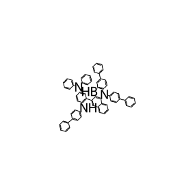 B1c2cc(-c3ccccc3)ccc2N(c2ccc(-c3ccccc3)cc2)c2c1c(-c1cc(N(c3ccccc3)c3ccccc3)ccc1Nc1ccc(-c3ccccc3)cc1)cc1ccccc21